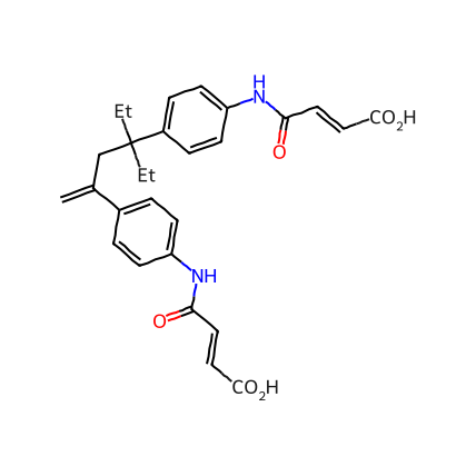 C=C(CC(CC)(CC)c1ccc(NC(=O)C=CC(=O)O)cc1)c1ccc(NC(=O)C=CC(=O)O)cc1